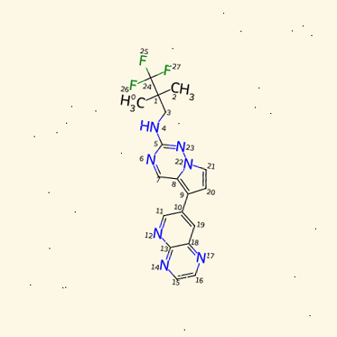 CC(C)(CNc1ncc2c(-c3cnc4nccnc4c3)ccn2n1)C(F)(F)F